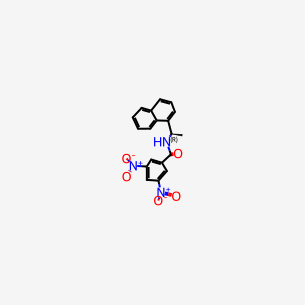 C[C@@H](NC(=O)c1cc([N+](=O)[O-])cc([N+](=O)[O-])c1)c1cccc2ccccc12